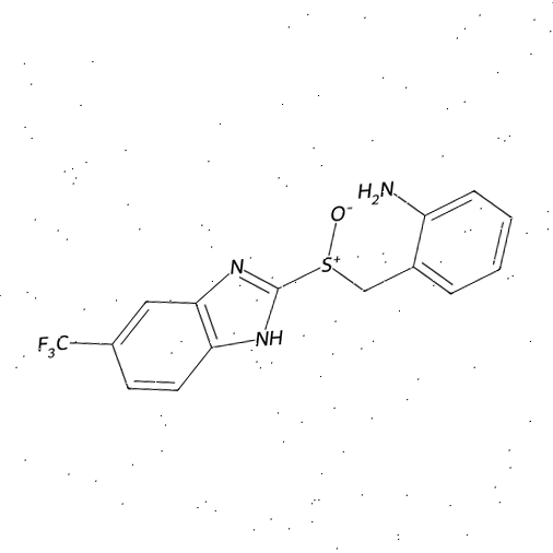 Nc1ccccc1C[S+]([O-])c1nc2cc(C(F)(F)F)ccc2[nH]1